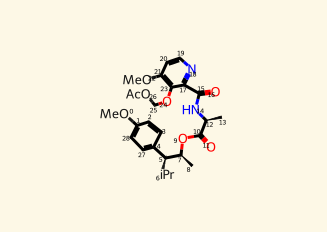 COc1ccc([C@H](C(C)C)[C@H](C)OC(=O)[C@H](C)NC(=O)c2nccc(OC)c2OCOC(C)=O)cc1